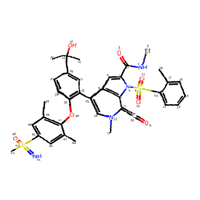 CCNC(=O)c1cc2c(n1S(=O)(=O)c1ccccc1C)C(=C=O)N(C)C=C2c1cc(C(C)(C)O)ccc1Oc1c(C)cc(S(C)(=N)=O)cc1C